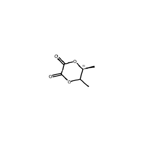 CC1OC(=O)C(=O)O[C@H]1C